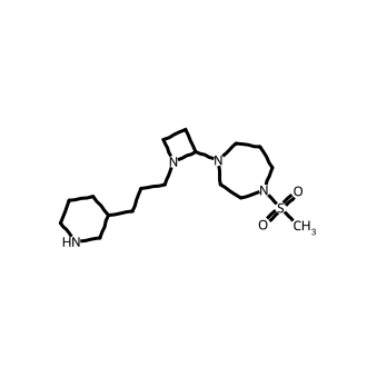 CS(=O)(=O)N1CCCN(C2CCN2CCCC2CCCNC2)CC1